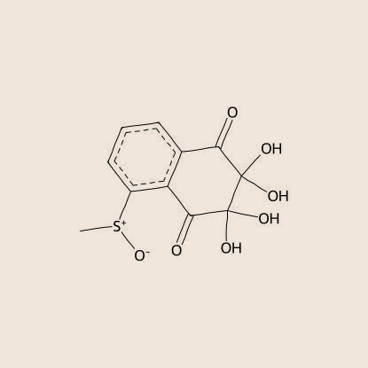 C[S+]([O-])c1cccc2c1C(=O)C(O)(O)C(O)(O)C2=O